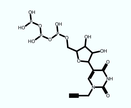 C#CCn1cc(C2OC(COP(O)OP(O)OP(O)O)C(O)C2O)c(=O)[nH]c1=O